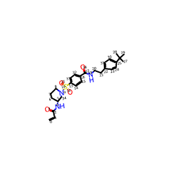 C=CC(=O)N[C@H]1CCCN(S(=O)(=O)c2ccc(C(=O)NCCc3ccc(C(C)(C)C)cc3)cc2)C1